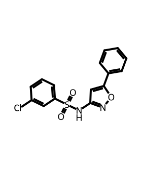 O=S(=O)(Nc1cc(-c2ccccc2)on1)c1cccc(Cl)c1